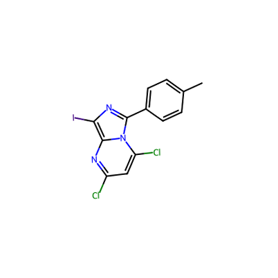 Cc1ccc(-c2nc(I)c3nc(Cl)cc(Cl)n23)cc1